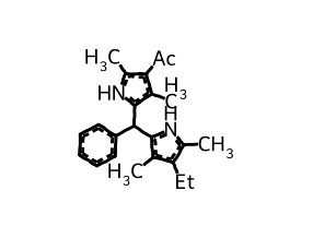 CCc1c(C)[nH]c(C(c2ccccc2)c2[nH]c(C)c(C(C)=O)c2C)c1C